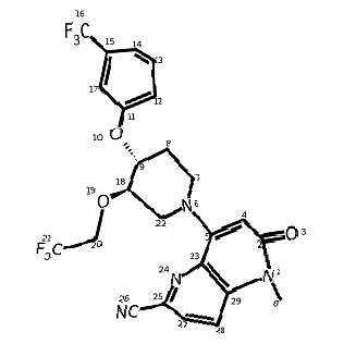 Cn1c(=O)cc(N2CC[C@@H](Oc3cccc(C(F)(F)F)c3)[C@H](OCC(F)(F)F)C2)c2nc(C#N)ccc21